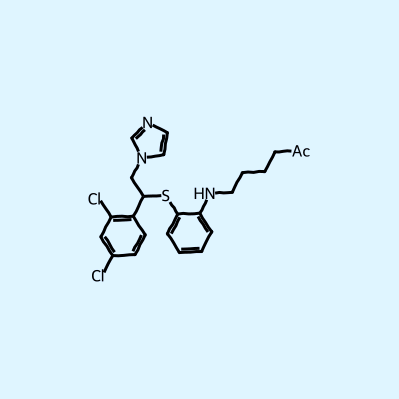 CC(=O)CCCCNc1ccccc1SC(Cn1ccnc1)c1ccc(Cl)cc1Cl